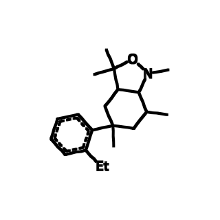 CCc1ccccc1C1(C)CC(C)C2C(C1)C(C)(C)ON2C